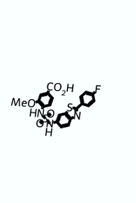 COc1cc(C(=O)O)ccc1NS(=O)(=O)Nc1ccc2nc(-c3ccc(F)cc3)sc2c1